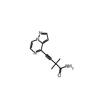 CC(C)(C#Cc1nccn2nccc12)C(N)=O